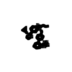 CCCc1nc2ccc(C3=NCCN3C3CC3)cc2n1Cc1ccc(-c2ccccc2-c2nnn[nH]2)cc1